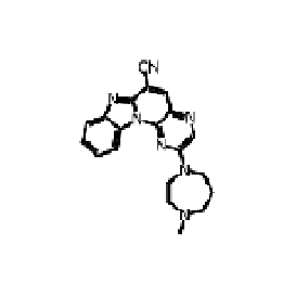 CN1CCCN(c2cnc3cc(C#N)c4nc5ccccc5n4c3n2)CC1